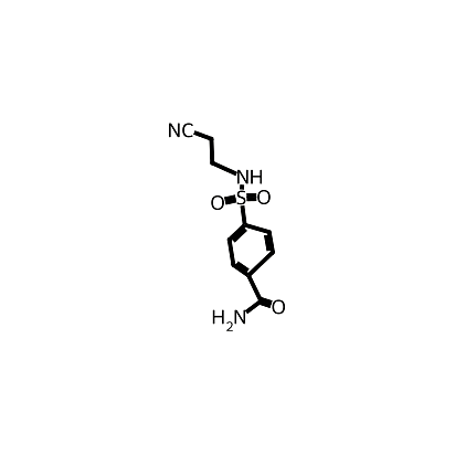 N#CCCNS(=O)(=O)c1ccc(C(N)=O)cc1